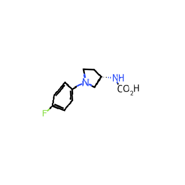 O=C(O)N[C@H]1CCN(c2ccc(F)cc2)C1